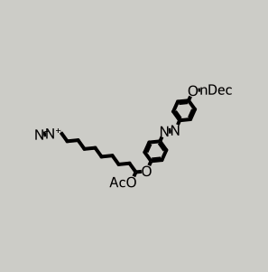 CCCCCCCCCCOc1ccc(N=Nc2ccc(OC(CCCCCCCCC=[N+]=[N-])OC(C)=O)cc2)cc1